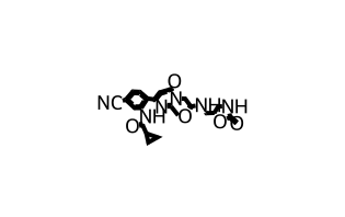 Cc1nc(-c2ccc(C#N)cc2NC(=O)C2CC2)cc(=O)n1CC(=O)NCC1CNC(=O)O1